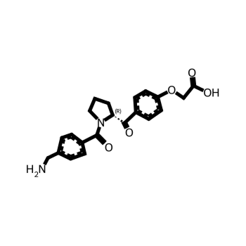 NCc1ccc(C(=O)N2CCC[C@@H]2C(=O)c2ccc(OCC(=O)O)cc2)cc1